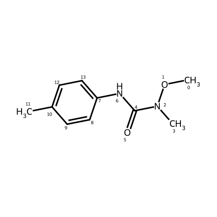 CON(C)C(=O)Nc1ccc(C)cc1